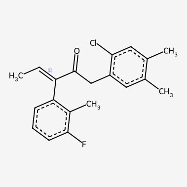 C/C=C(/C(=O)Cc1cc(C)c(C)cc1Cl)c1cccc(F)c1C